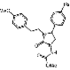 COC(=O)NN1CC(c2ccc(C(C)(C)C)cc2)N(CCc2ccc(OC)cc2)C1=O